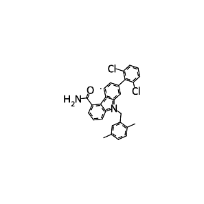 Cc1ccc(C)c(Cn2c3cc(-c4c(Cl)cccc4Cl)c[c]c3c3c(C(N)=O)cccc32)c1